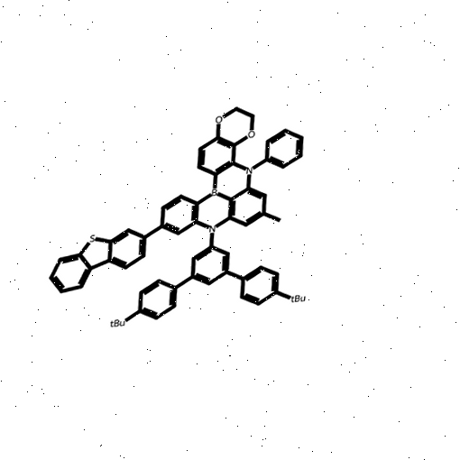 Cc1cc2c3c(c1)N(c1ccccc1)c1c(ccc4c1OCCO4)B3c1ccc(-c3ccc4c(c3)sc3ccccc34)cc1N2c1cc(-c2ccc(C(C)(C)C)cc2)cc(-c2ccc(C(C)(C)C)cc2)c1